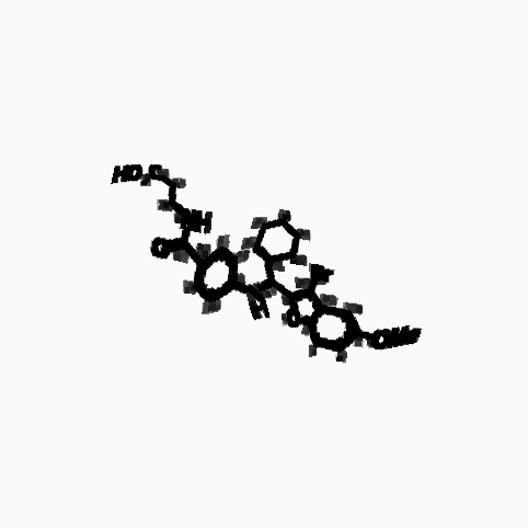 COc1ccc2oc(C(Nc3ccc(C(=O)NCCC(=O)O)cc3)C3CCCCC3)c(Br)c2c1